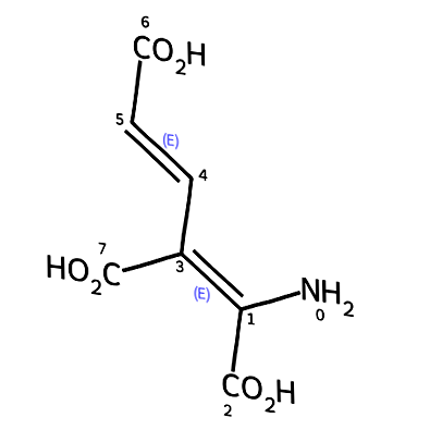 N/C(C(=O)O)=C(\C=C\C(=O)O)C(=O)O